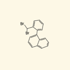 BrC(Br)c1ccccc1-c1cccc2ccccc12